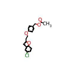 CC(=O)OCc1ccc(OCCc2cc3cc(Cl)ccc3o2)cc1